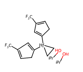 CC(C)O.CC(C)O.FC(F)(F)C1=CC[C]([Hf]2([C]3=CC(C(F)(F)F)=CC3)[CH2][CH2]2)=C1